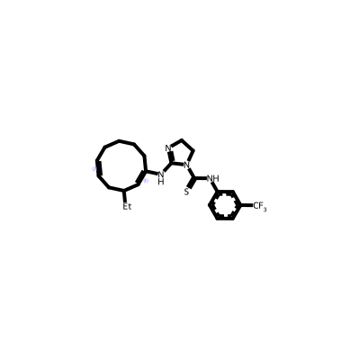 CCC1/C=C(/NC2=NCCN2C(=S)Nc2cccc(C(F)(F)F)c2)CCCC/C=C\C1